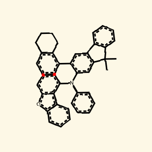 CC1(C)c2ccccc2-c2cc(-c3cccc4c3CCCC4)c(N(c3ccccc3)c3cccc4oc5ccccc5c34)cc21